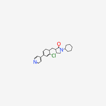 O=C1C(CC2CC=C(c3ccncc3)C=C2Cl)CCN1C1CCCCC1